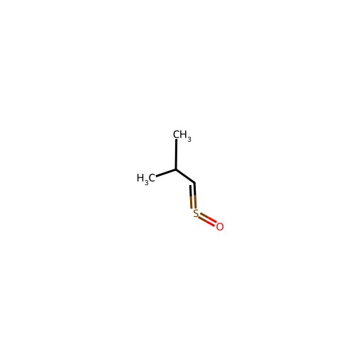 CC(C)C=S=O